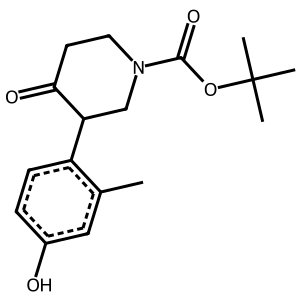 Cc1cc(O)ccc1C1CN(C(=O)OC(C)(C)C)CCC1=O